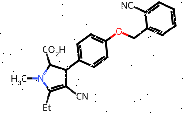 CCC1=C(C#N)C(c2ccc(OCc3ccccc3C#N)cc2)C(C(=O)O)N1C